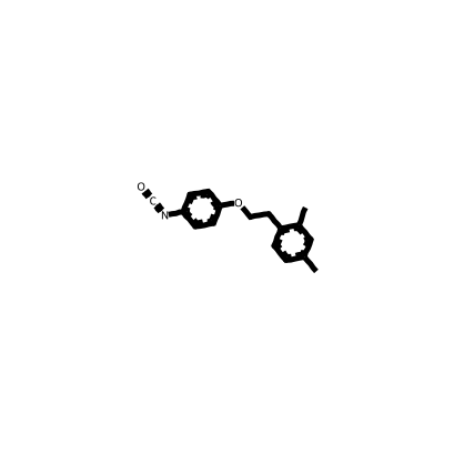 Cc1ccc(CCOc2ccc(N=C=O)cc2)c(C)c1